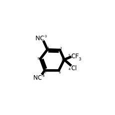 N#CC1=CC(Cl)(C(F)(F)F)CC(C#N)=C1